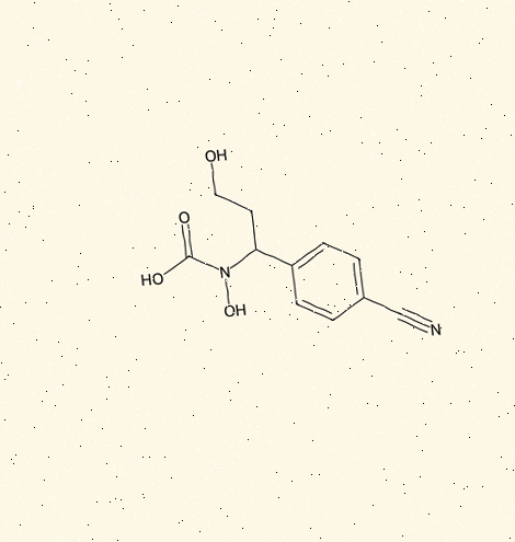 N#Cc1ccc(C(CCO)N(O)C(=O)O)cc1